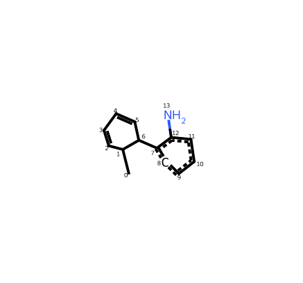 CC1C=CC=CC1c1ccccc1N